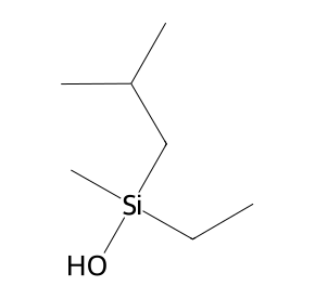 CC[Si](C)(O)CC(C)C